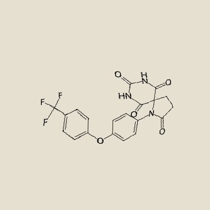 O=C1NC(=O)C2(CCC(=O)N2c2ccc(Oc3ccc(C(F)(F)F)cc3)cc2)C(=O)N1